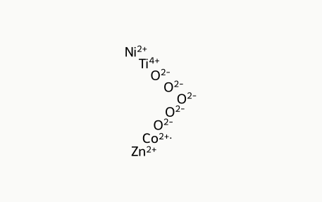 [Co+2].[Ni+2].[O-2].[O-2].[O-2].[O-2].[O-2].[Ti+4].[Zn+2]